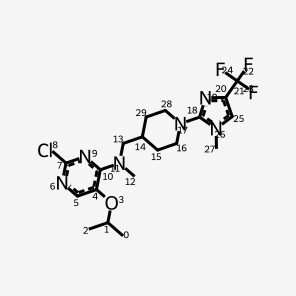 CC(C)Oc1cnc(Cl)nc1N(C)CC1CCN(c2nc(C(F)(F)F)cn2C)CC1